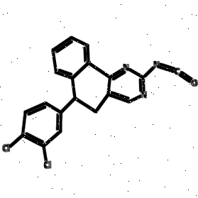 O=C=Nc1ncc2c(n1)-c1ccccc1C(c1ccc(Cl)c(Cl)c1)C2